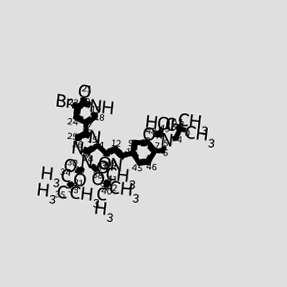 CC(C)(C)CN(Cc1ccc(-c2cc(-c3nc(-c4c[nH]c(=O)c(Br)c4)cnc3N(C(=O)OC(C)(C)C)C(=O)OC(C)(C)C)on2)cc1)C(=O)O